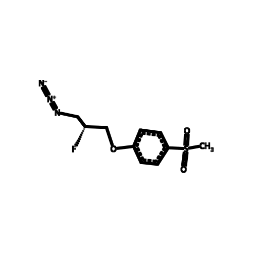 CS(=O)(=O)c1ccc(OC[C@H](F)CN=[N+]=[N-])cc1